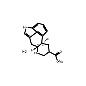 COC(=O)C1CN[C@@H]2Cc3c[nH]c4cccc(c34)[C@H]2C1.Cl